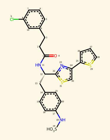 O=C(CCc1cccc(Cl)c1)N[C@@H](Cc1ccc(NS(=O)(=O)O)cc1)c1nc(-c2cccs2)cs1